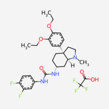 CCOc1ccc([C@@]23CC[C@@H](NC(=O)Nc4ccc(F)c(F)c4)C[C@@H]2N(C)CC3)cc1OCC.O=C(O)C(F)(F)F